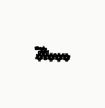 CC(C)(C)c1ccccc1Oc1ncccc1NC(=O)Nc1cccc(OC2CCCN(Cc3ccccc3)C2)c1